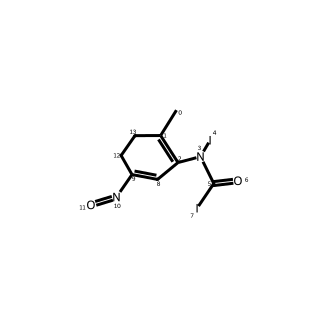 CC1=C(N(I)C(=O)I)C=C(N=O)CC1